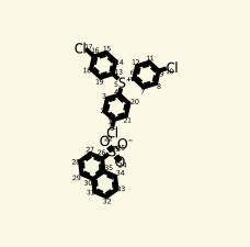 Clc1ccc([S+](c2ccc(Cl)cc2)c2ccc(Cl)cc2)cc1.O=S(=O)([O-])c1cccc2ccccc12